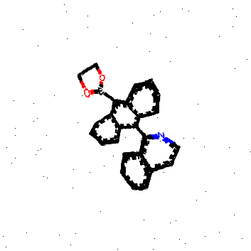 c1ccc2c(-c3c4ccccc4c(B4OCCO4)c4ccccc34)nccc2c1